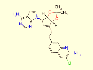 CC1(C)O[C@@H]2[C@H](O1)C(CCc1ccc3cc(Cl)c(N)nc3c1)=C[C@H]2n1ccc2c(N)ncnc21